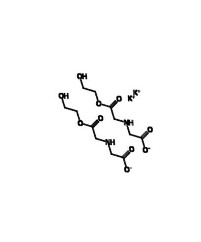 O=C([O-])CNCC(=O)OCCO.O=C([O-])CNCC(=O)OCCO.[K+].[K+]